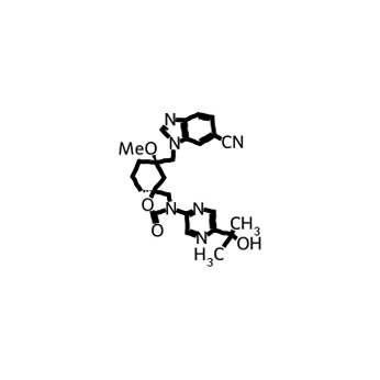 CO[C@]1(Cn2cnc3ccc(C#N)cc32)CCC[C@@]2(CN(c3cnc(C(C)(C)O)cn3)C(=O)O2)C1